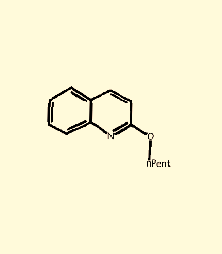 CCCCCOc1ccc2ccccc2n1